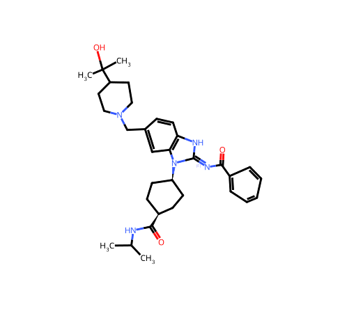 CC(C)NC(=O)[C@H]1CC[C@@H](n2/c(=N/C(=O)c3ccccc3)[nH]c3ccc(CN4CCC(C(C)(C)O)CC4)cc32)CC1